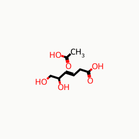 CC(=O)O.O=C(O)CC=CC(O)CO